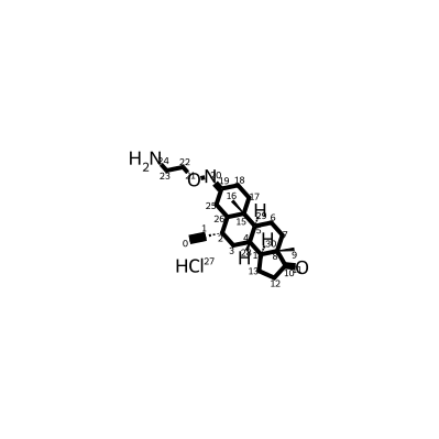 C#C[C@H]1C[C@@H]2[C@H](CC[C@]3(C)C(=O)CC[C@@H]23)[C@@]2(C)CC/C(=N/OCCN)CC12.Cl